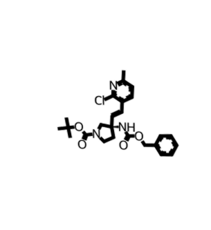 Cc1ccc(/C=C/[C@]2(NC(=O)OCc3ccccc3)CCN(C(=O)OC(C)(C)C)C2)c(Cl)n1